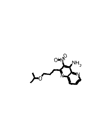 CC(C)OCCCc1nc2cccnc2c(N)c1[N+](=O)[O-]